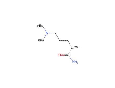 C=C(CCCN(CCCC)CCCC)C(N)=O